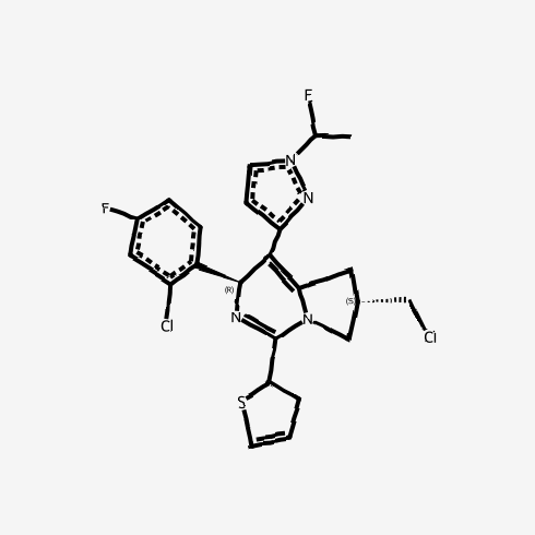 CC(F)n1ccc(C2=C3C[C@H](CCl)CN3C(C3CC=CS3)=N[C@H]2c2ccc(F)cc2Cl)n1